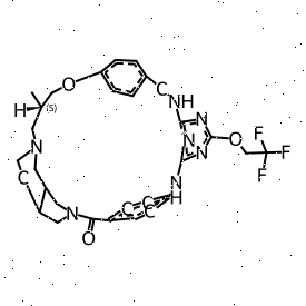 C[C@@H]1COc2ccc(cc2)CNc2nc(nc(OCC(F)(F)F)n2)Nc2ccc(cc2)C(=O)N2CC3CCN(CC3C2)C1